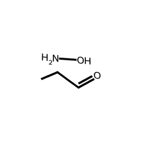 CCC=O.NO